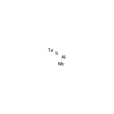 [Al].[Nb].[Ta].[Ti]